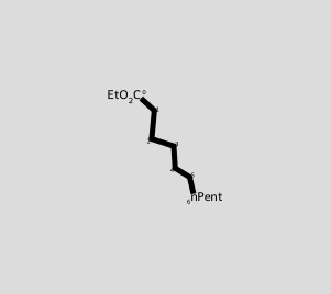 [CH2]COC(=O)CCCCCCCCCC